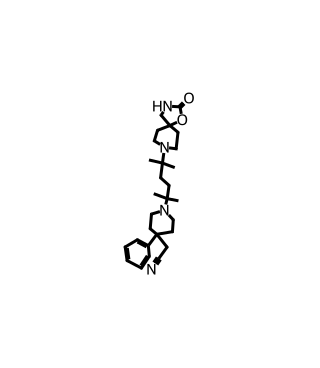 CC(C)(CCC(C)(C)N1CCC(CC#N)(c2ccccc2)CC1)N1CCC2(CC1)CNC(=O)O2